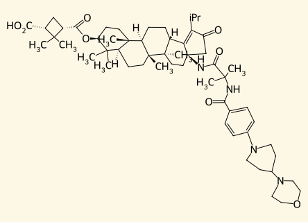 CC(C)C1=C2[C@H]3CC[C@@H]4[C@@]5(C)CC[C@H](OC(=O)[C@H]6C[C@@H](C(=O)O)C6(C)C)C(C)(C)[C@@H]5CC[C@@]4(C)[C@]3(C)CC[C@@]2(NC(=O)C(C)(C)NC(=O)c2ccc(N3CCC(N4CCOCC4)CC3)cc2)CC1=O